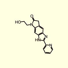 O=C1Cc2cc3nc(-c4ccccn4)[nH]c3cc2N1CCO